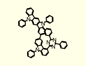 c1ccc(-c2nc(-c3ccccc3)nc(-c3cccc4c3c3cc(-c5ccc6c(c5)c5cc7c(cc5n6-c5ccccc5)c5ccccc5n7-c5ccccc5)ccc3n4-c3ccccc3)n2)cc1